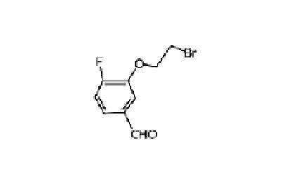 O=Cc1ccc(F)c(OCCBr)c1